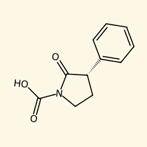 O=C(O)N1CC[C@@H](c2ccccc2)C1=O